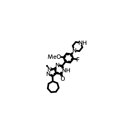 COc1cc(N2CCNCC2)c(F)cc1-c1nc2c(c(C3CCCCCC3)nn2C)c(=O)[nH]1